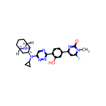 Cn1c(F)cc(-c2ccc(-c3ncc(N(C4CC4)[C@@H]4C[C@H]5CCC[C@@H](C4)N5)nn3)c(O)c2)nc1=O